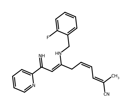 C/C(C#N)=C\C=C/C/C(=C/C(=N)c1ccccn1)NCc1ccccc1F